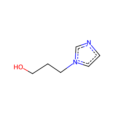 OCCCn1ccnc1